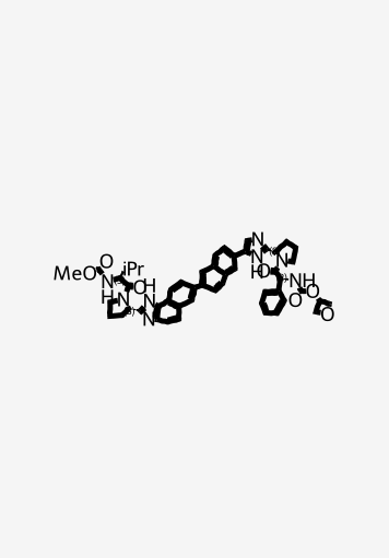 COC(=O)N[C@H](C(=O)N1CCC[C@H]1c1nc2ccc3cc(-c4ccc5cc(-c6cnc([C@@H]7CCCN7C(=O)[C@H](NC(=O)OC7COC7)c7ccccc7)[nH]6)ccc5c4)ccc3c2[nH]1)C(C)C